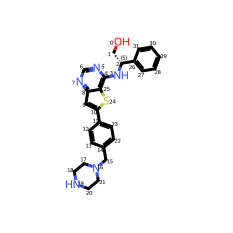 OC[C@@H](Nc1ncnc2cc(-c3ccc(CN4CCNCC4)cc3)sc12)c1ccccc1